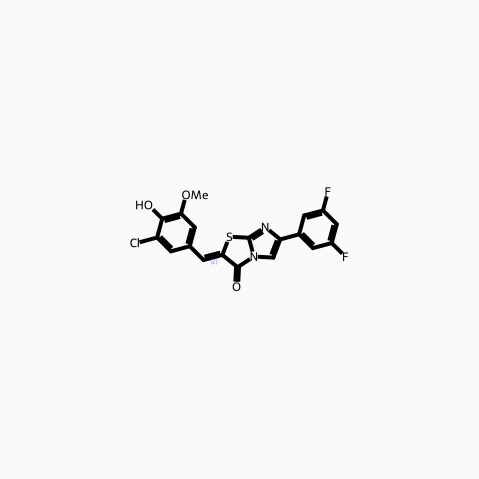 COc1cc(/C=c2\sc3nc(-c4cc(F)cc(F)c4)cn3c2=O)cc(Cl)c1O